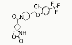 O=C1N[C@]2(CO1)C[C@H](C(=O)N1CCC(COc3ccc(C(F)(F)F)cc3Cl)CC1)C2